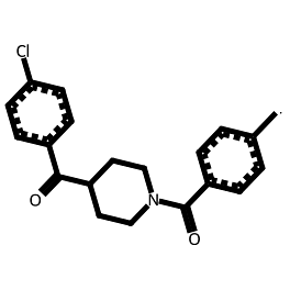 [CH2]c1ccc(C(=O)N2CCC(C(=O)c3ccc(Cl)cc3)CC2)cc1